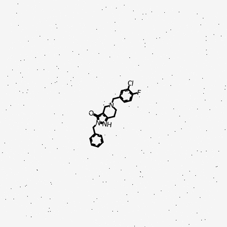 O=c1c2c([nH]n1Cc1ccccc1)CCN(Cc1ccc(F)c(Cl)c1)C2